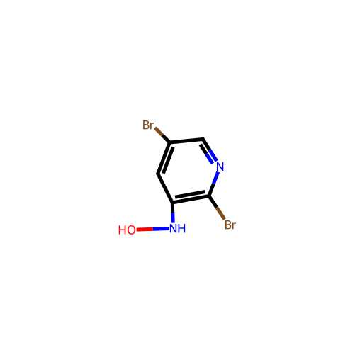 ONc1cc(Br)cnc1Br